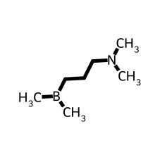 CB(C)CCCN(C)C